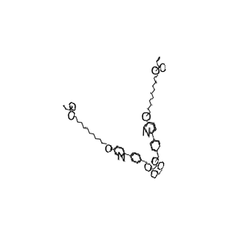 C=CC(=O)OCCCCCCCCCCCOc1ccc(-c2ccc(CO[C@@H]3OCCO[C@H]3OCc3ccc(-c4ccc(OCCCCCCCCCCCOC(=O)C=C)cn4)cc3)cc2)nc1